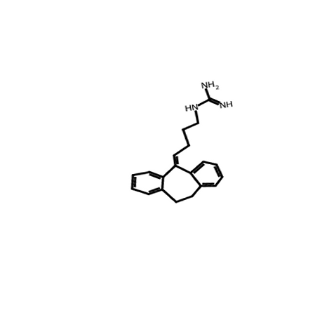 N=C(N)NCCCC=C1c2ccccc2CCc2ccccc21